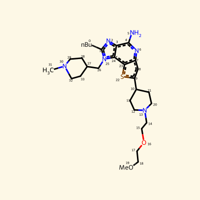 CCCCc1nc2c(N)nc3cc(C4CCN(CCOCCOC)CC4)sc3c2n1CC1CCN(C)CC1